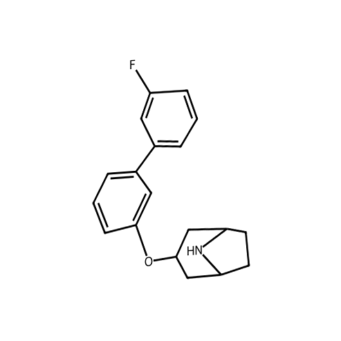 Fc1cccc(-c2cccc(OC3CC4CCC(C3)N4)c2)c1